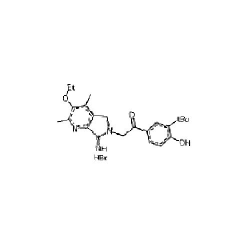 Br.CCOc1c(C)nc2c(c1C)CN(CC(=O)c1ccc(O)c(C(C)(C)C)c1)C2=N